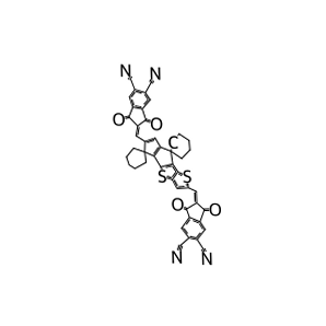 N#Cc1cc2c(cc1C#N)C(=O)C(=CC1=CC3=C(c4sc5cc(C=C6C(=O)c7cc(C#N)c(C#N)cc7C6=O)sc5c4C34CCCCC4)C13CCCCC3)C2=O